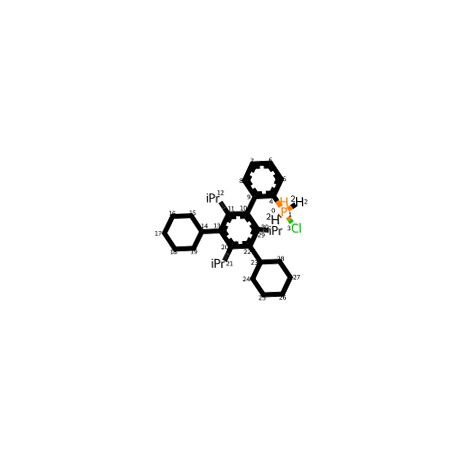 [2H][PH]([2H])(Cl)c1ccccc1-c1c(C(C)C)c(C2CCCCC2)c(C(C)C)c(C2CCCCC2)c1C(C)C